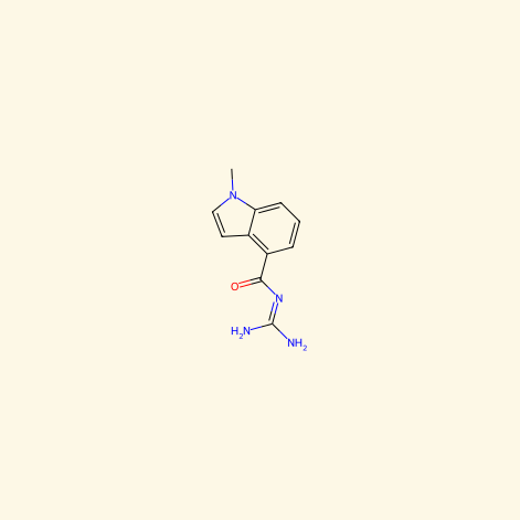 Cn1ccc2c(C(=O)N=C(N)N)cccc21